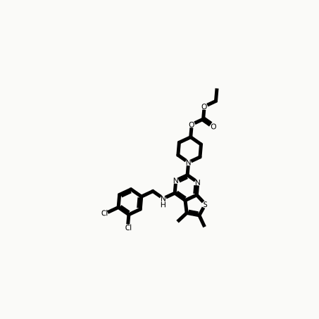 CCOC(=O)OC1CCN(c2nc(NCc3ccc(Cl)c(Cl)c3)c3c(C)c(C)sc3n2)CC1